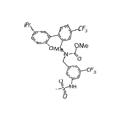 COC(=O)N(Cc1cc(NS(C)(=O)=O)cc(C(F)(F)F)c1)Cc1cc(C(F)(F)F)ccc1-c1cc(C(C)C)ccc1OC